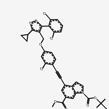 COC(=O)c1cc(C#Cc2ccc(OCc3c(-c4c(Cl)cccc4Cl)noc3C3CC3)cc2Cl)c2ccn(C(=O)OC(C)(C)C)c2c1